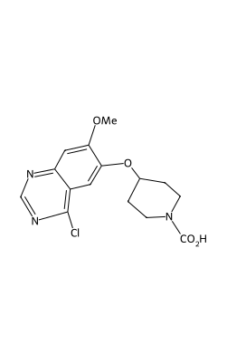 COc1cc2ncnc(Cl)c2cc1OC1CCN(C(=O)O)CC1